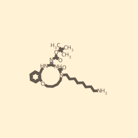 CC(C)(C)OC(=O)/N=C1/NCc2ccccc2OCCCCN(CCCCCCCCN)C(=O)N1